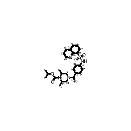 CC(C)OC(=O)N1C(C)CN(C(=O)c2ccc(NS(=O)(=O)c3cccc4cccnc34)cc2)CC1C